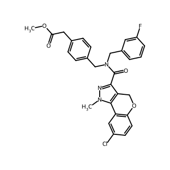 COC(=O)Cc1ccc(CN(Cc2cccc(F)c2)C(=O)c2nn(C)c3c2COc2ccc(Cl)cc2-3)cc1